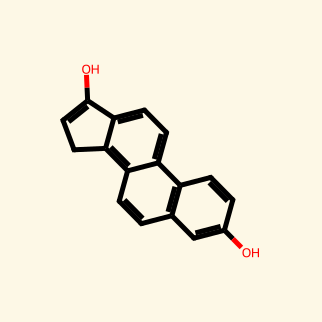 OC1=CCc2c1ccc1c2ccc2cc(O)ccc21